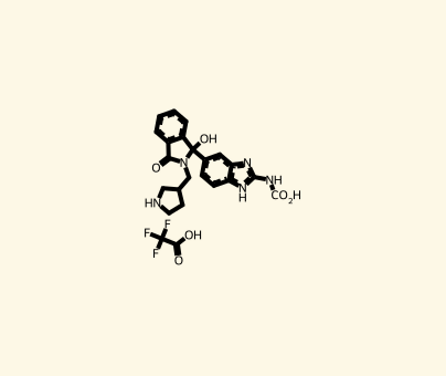 O=C(O)C(F)(F)F.O=C(O)Nc1nc2cc(C3(O)c4ccccc4C(=O)N3CC3CCNC3)ccc2[nH]1